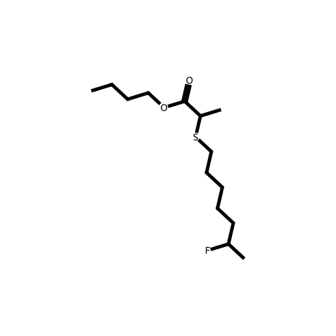 CCCCOC(=O)C(C)SCCCCCC(C)F